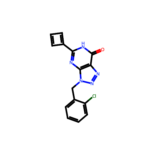 O=c1[nH]c(C2=CC=C2)nc2c1nnn2Cc1ccccc1Cl